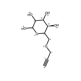 C#CCOCC1OC(O)C(O)C(O)[C@H]1O